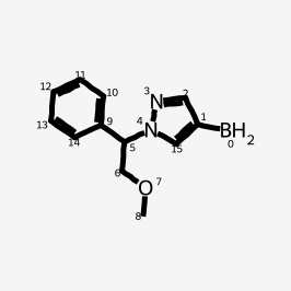 Bc1cnn(C(COC)c2ccccc2)c1